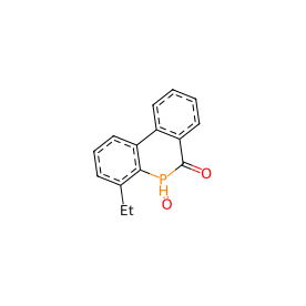 CCc1cccc2c1[PH](=O)C(=O)c1ccccc1-2